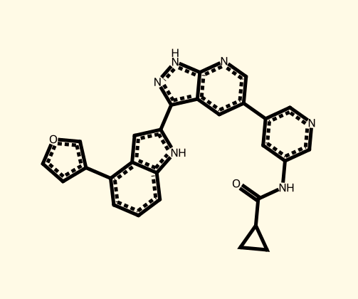 O=C(Nc1cncc(-c2cnc3[nH]nc(-c4cc5c(-c6ccoc6)cccc5[nH]4)c3c2)c1)C1CC1